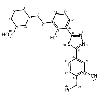 CCc1c(CCN2CCCC(C(=O)O)C2)cccc1-c1nnc(-c2ccc(CC(C)C)c(C#N)c2)s1